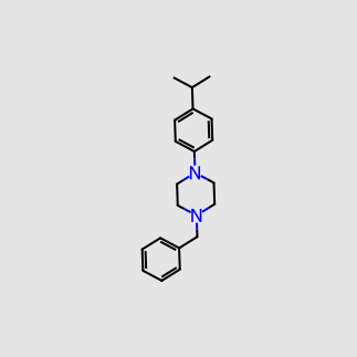 CC(C)c1ccc(N2CCN(Cc3ccccc3)CC2)cc1